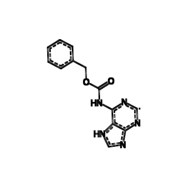 O=C(Nc1n[c]nc2nc[nH]c12)OCc1ccccc1